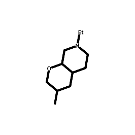 CCN1CCC2CC(C)COC2C1